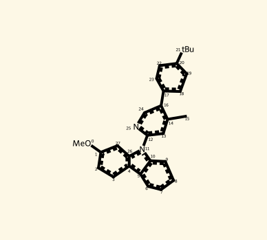 COc1ccc2c3ccccc3n(-c3cc(C)c(-c4ccc(C(C)(C)C)cc4)cn3)c2c1